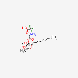 CCCCCCCC=C[C@@H]1OC[C@H](C)C2(OCCO2)[C@H]1OC(=O)CN.O=C(O)C(F)(F)F